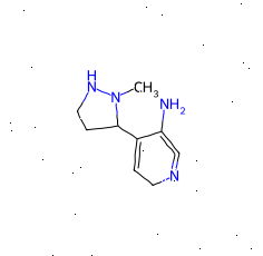 CN1NCCC1C1=CCN=C=C1N